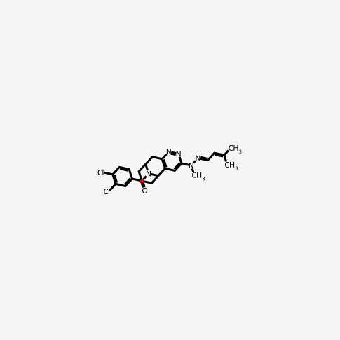 CC(C)=CC=NN(C)c1cc2c(nn1)CC1CCCC2N1C(=O)c1ccc(Cl)c(Cl)c1